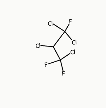 FC(F)(Cl)[C](Cl)C(F)(Cl)Cl